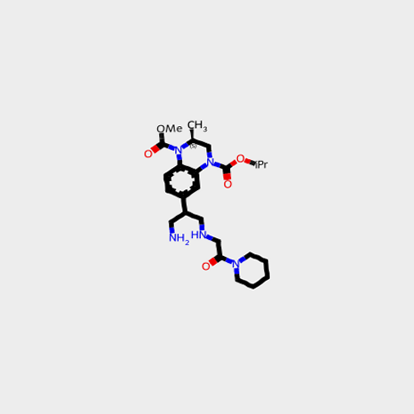 COC(=O)N1c2ccc(C(CN)CNCC(=O)N3CCCCC3)cc2N(C(=O)OC(C)C)C[C@@H]1C